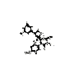 COc1ccc([C@@H]2C(=O)N(C)C(=N)N[C@]2(C)c2cc(-c3cc(F)cc(C#N)c3)cs2)cn1